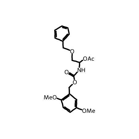 COc1ccc(OC)c(COC(=O)NC(COCc2ccccc2)OC(C)=O)c1